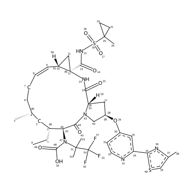 CC[C@@H]1C[C@H](C)CCC=C[C@@H]2C[C@@]2(C(=O)NS(=O)(=O)C2(C)CC2)NC(=O)[C@@H]2C[C@@H](Oc3ccnc(-c4nc(C)cs4)c3)CN2C(=O)[C@H]1N(C(=O)O)C(C)(C)C(F)(F)F